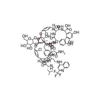 CN[C@H](CC(C)C)C(=O)N[C@H]1C(=O)N[C@@H](CC(N)=O)C(=O)N[C@H]2C(=O)N[C@H]3C(=O)N[C@H](C(=O)NC(C(=O)O)c4cc(O)cc(O)c4-c4cc3ccc4O)[C@H](O)c3ccc(c(Cl)c3)Oc3cc2cc(c3OC2OC(CO)C(O)C(O)C2OC2CC(C)(NCc3ccc(OCCNc4cc(C(F)(F)F)nc5ccccc45)cc3)C(O)C(C)O2)Oc2ccc(cc2Cl)[C@H]1O